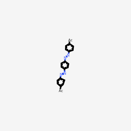 CC(=O)c1ccc(N=Nc2ccc(N=Nc3ccc(C(C)=O)cc3)cc2)cc1